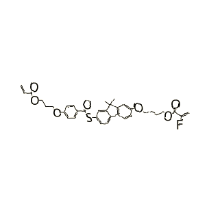 C=CC(=O)OCCCOc1ccc(C(=O)Sc2ccc3c(c2)C(C)(C)c2cc(OCCCCOC(=O)C(=C)F)ccc2-3)cc1